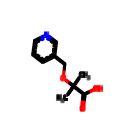 CC(C)(OCc1cccnc1)C(=O)O